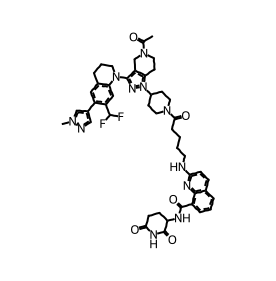 CC(=O)N1CCc2c(c(N3CCCc4cc(-c5cnn(C)c5)c(C(F)F)cc43)nn2C2CCN(C(=O)CCCCNc3ccc4cccc(C(=O)NC5CCC(=O)NC5=O)c4n3)CC2)C1